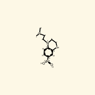 CN(C)CCN1CCSc2cc([N+](=O)[O-])ccc21